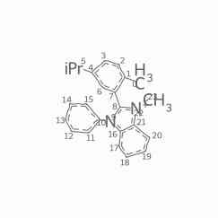 Cc1ccc(C(C)C)cc1-c1n(-c2ccccc2)c2ccccc2[n+]1C